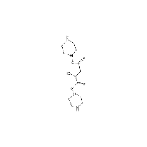 O=C(CC(O)C(=O)ON1CCNCC1)ON1CCNCC1